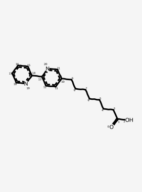 O=C(O)CCCCCCCc1ccc(-c2ccccn2)nc1